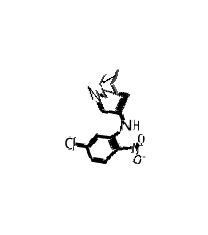 O=[N+]([O-])c1ccc(Cl)cc1Nc1cn[nH]c1